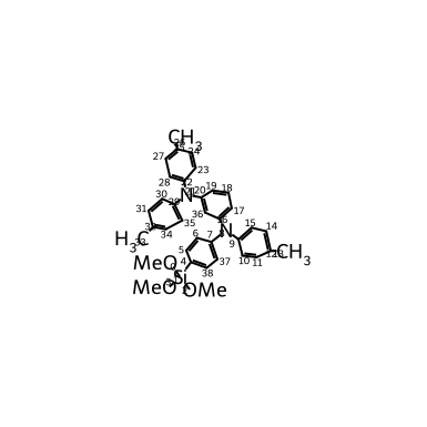 CO[Si](OC)(OC)c1ccc(N(c2ccc(C)cc2)c2cccc(N(c3ccc(C)cc3)c3ccc(C)cc3)c2)cc1